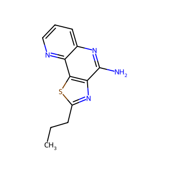 CCCc1nc2c(N)nc3cccnc3c2s1